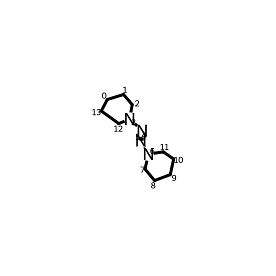 C1CCN(/N=N/N2CCCCC2)CC1